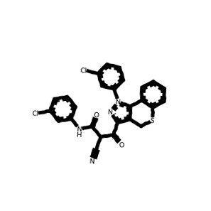 N#CC(C(=O)Nc1cccc(Cl)c1)C(=O)c1nn(-c2cccc(Cl)c2)c2c1CSc1ccccc1-2